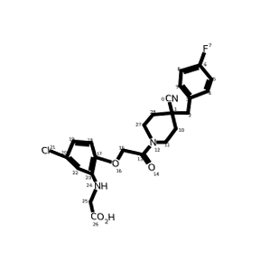 N#CC1(Cc2ccc(F)cc2)CCN(C(=O)COc2ccc(Cl)cc2NCC(=O)O)CC1